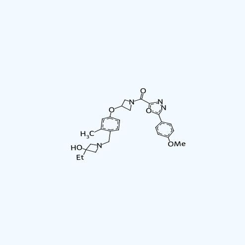 CCC1(O)CN(Cc2ccc(OC3CN(C(=O)c4nnc(-c5ccc(OC)cc5)o4)C3)cc2C)C1